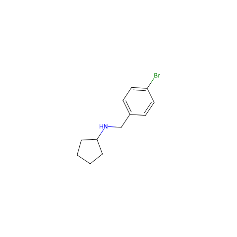 Brc1ccc(CNC2CCCC2)cc1